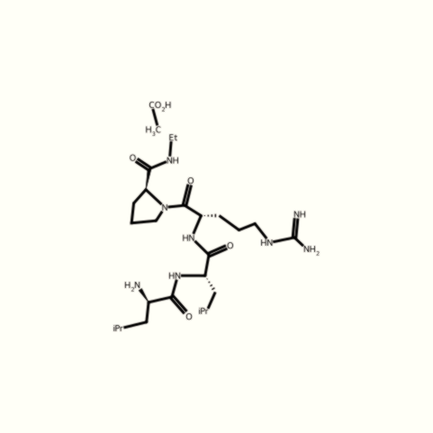 CC(=O)O.CCNC(=O)[C@@H]1CCCN1C(=O)[C@H](CCCNC(=N)N)NC(=O)[C@H](CC(C)C)NC(=O)[C@H](N)CC(C)C